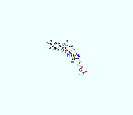 CC(=O)OCCOc1noc(NC(=O)OC(C(C)C)S(=O)(=O)c2ccc(C(C)(C)C)cc2)c1I